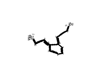 CCC(C)CC=c1ccccc1=CCC(C)CC